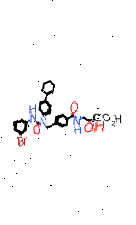 O=C(NCC(O)C(=O)O)c1ccc(CN(C(=O)Nc2cccc(Br)c2)c2ccc(C3=CCCCC3)cc2)cc1